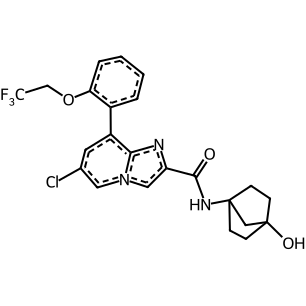 O=C(NC12CCC(O)(CC1)C2)c1cn2cc(Cl)cc(-c3ccccc3OCC(F)(F)F)c2n1